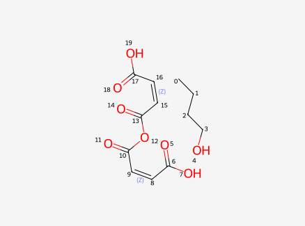 CCCCO.O=C(O)/C=C\C(=O)OC(=O)/C=C\C(=O)O